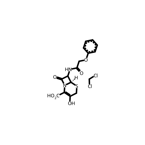 ClCCl.O=C(COc1ccccc1)NC1C(=O)N2C(C(=O)O)=C(O)CS[C@H]12